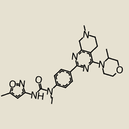 Cc1cc(NC(=O)N(I)c2ccc(-c3nc4c(c(N5CCOCC5C)n3)CCN(C)C4)cc2)no1